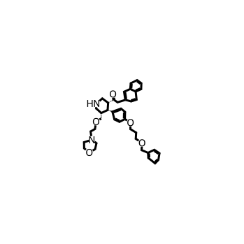 O=C(Cc1ccc2ccccc2c1)[C@H]1CNC[C@@H](COCCN2CCOCC2)[C@H]1c1ccc(OCCCOCc2ccccc2)cc1